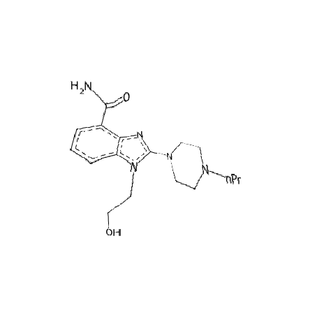 CCCN1CCN(c2nc3c(C(N)=O)cccc3n2CCO)CC1